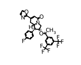 C[C@@H](O[C@H]1CN2C(=O)C=C(c3ncco3)C[C@H]2[C@@H]1c1ccc(F)cc1)c1cc(C(F)(F)F)cc(C(F)(F)F)c1